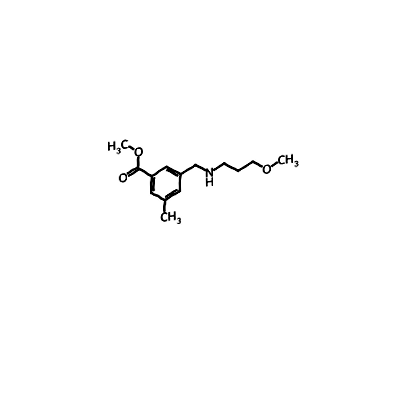 COCCCNCc1cc(C)cc(C(=O)OC)c1